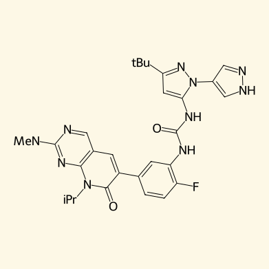 CNc1ncc2cc(-c3ccc(F)c(NC(=O)Nc4cc(C(C)(C)C)nn4-c4cn[nH]c4)c3)c(=O)n(C(C)C)c2n1